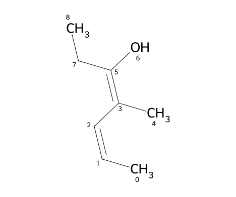 C/C=C\C(C)=C(\O)CC